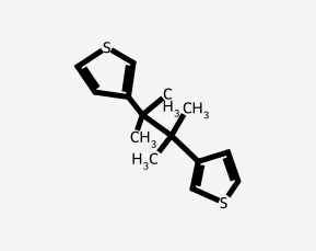 CC(C)(c1ccsc1)C(C)(C)c1ccsc1